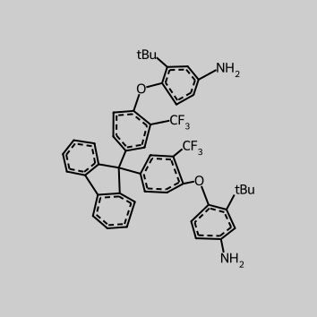 CC(C)(C)c1cc(N)ccc1Oc1ccc(C2(c3ccc(Oc4ccc(N)cc4C(C)(C)C)c(C(F)(F)F)c3)c3ccccc3-c3ccccc32)cc1C(F)(F)F